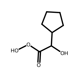 O=C(OO)C(O)C1CCCC1